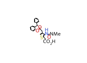 CNC(=O)Nc1c(CC(=O)OC(c2ccccc2)c2ccccc2)csc1CC(=O)O